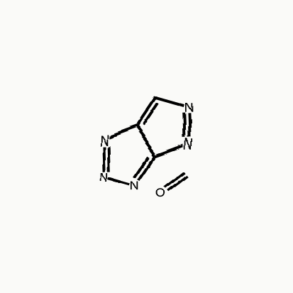 C1=C2N=NN=C2N=N1.C=O